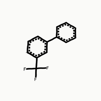 FC(F)(F)c1[c]ccc(-c2ccccc2)c1